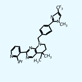 CC(C)c1ncccc1-c1ncc2c(n1)N(Cc1ccc(-c3nc(C(F)(F)F)cn3C)cc1)CCC2(C)C